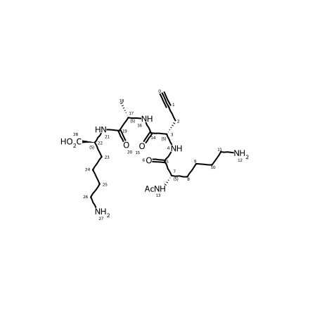 C#CC[C@H](NC(=O)[C@H](CCCCN)NC(C)=O)C(=O)N[C@@H](C)C(=O)N[C@@H](CCCCN)C(=O)O